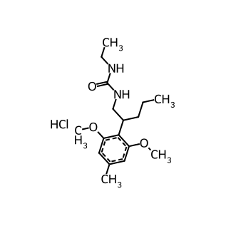 CCCC(CNC(=O)NCC)c1c(OC)cc(C)cc1OC.Cl